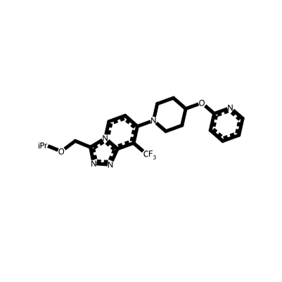 CC(C)OCc1nnc2c(C(F)(F)F)c(N3CCC(Oc4ccccn4)CC3)ccn12